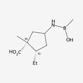 CC[C@H]1CC(NB(C)O)C[C@@]1(C)C(=O)O